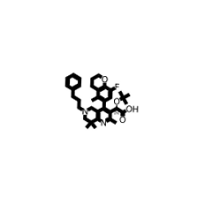 Cc1nc2c(c(-c3cc(F)c4c(c3C)CCCO4)c1[C@H](OC(C)(C)C)C(=O)O)CN(CCCc1ccccc1)CC2(C)C